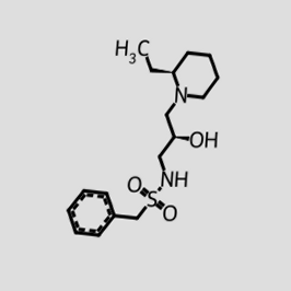 CC[C@H]1CCCCN1C[C@@H](O)CNS(=O)(=O)Cc1ccccc1